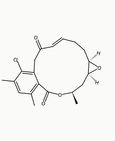 Cc1cc(C)c2c(c1Cl)CC(=O)/C=C/CC[C@H]1O[C@H]1C[C@@H](C)OC2=O